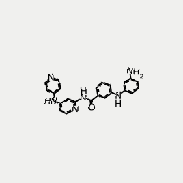 Nc1cccc(Nc2cccc(C(=O)Nc3cc(Nc4ccncc4)ccn3)c2)c1